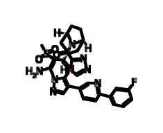 CS(=O)(=O)c1c([C@@H]2C[C@H]3CC[C@@H](C2)N3C(=O)c2nnc[nH]2)nc2c(-c3ccc(-c4cccc(F)c4)nc3)cnn2c1N